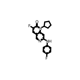 O=c1c(F)cc2cnc(Nc3ccc(F)cc3)cc2n1C1CCCC1